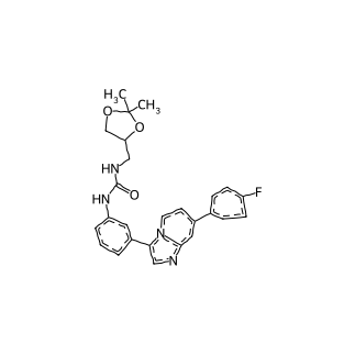 CC1(C)OCC(CNC(=O)Nc2cccc(-c3cnc4cc(-c5ccc(F)cc5)ccn34)c2)O1